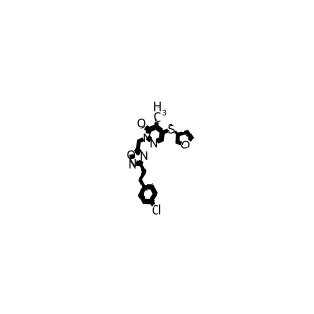 Cc1c(S[C@H]2CCOC2)cnn(Cc2nc(CCc3ccc(Cl)cc3)no2)c1=O